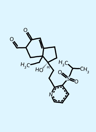 CCC12CC(C=O)C(=O)C=C1CC[C@@]2(O)CCc1ncccc1S(=O)(=O)C(C)C